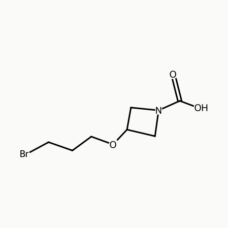 O=C(O)N1CC(OCCCBr)C1